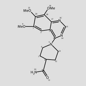 COc1cc2c(N3CCC(C(N)=O)CC3)ncnc2c(OC)c1OC